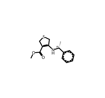 COC(=O)C1=C(N[C@H](C)c2ccccc2)CSC1